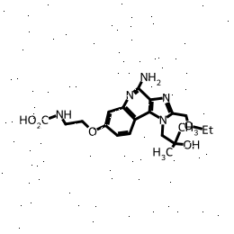 CCOCc1nc2c(N)nc3cc(OCCNC(=O)O)ccc3c2n1CC(C)(C)O